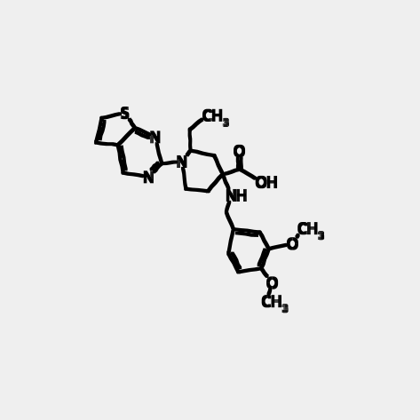 CCC1CC(NCc2ccc(OC)c(OC)c2)(C(=O)O)CCN1c1ncc2ccsc2n1